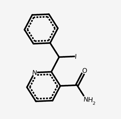 NC(=O)c1cccnc1C(I)c1ccccc1